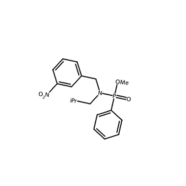 COP(=O)(c1ccccc1)N(Cc1cccc([N+](=O)[O-])c1)CC(C)C